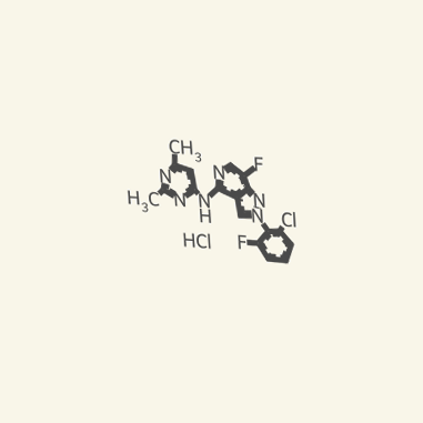 Cc1cc(Nc2ncc(F)c3nn(-c4c(F)cccc4Cl)cc23)nc(C)n1.Cl